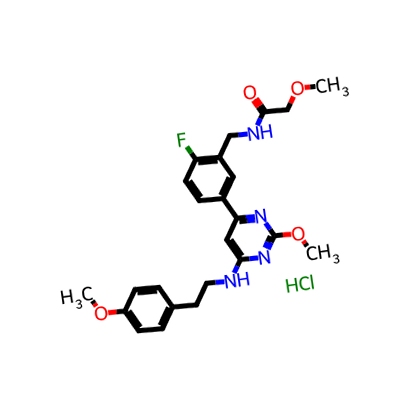 COCC(=O)NCc1cc(-c2cc(NCCc3ccc(OC)cc3)nc(OC)n2)ccc1F.Cl